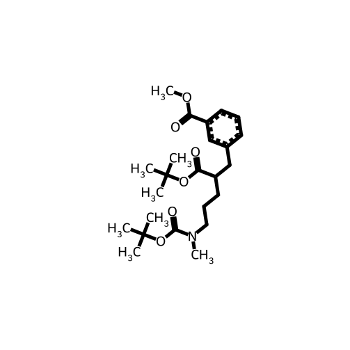 COC(=O)c1cccc(CC(CCCN(C)C(=O)OC(C)(C)C)C(=O)OC(C)(C)C)c1